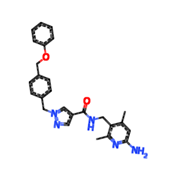 Cc1cc(N)nc(C)c1CNC(=O)c1cnn(Cc2ccc(COc3ccccc3)cc2)c1